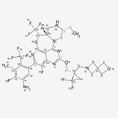 CC[C@@H]1CN2c3nc(OC[C@]4(CN5CC6(COC6)C5)CC4(F)F)nc4c(F)c(-c5cc(N)c(F)c(C)c5C(F)(F)F)nc(c34)OC(C(F)(F)F)[C@@H]2CN1